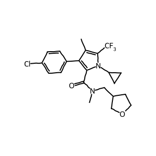 Cc1c(-c2ccc(Cl)cc2)c(C(=O)N(C)CC2CCOC2)n(C2CC2)c1C(F)(F)F